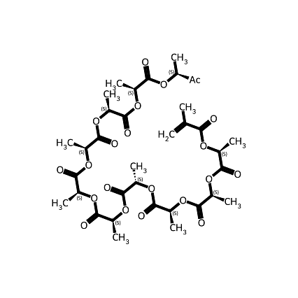 C=C(C)C(=O)O[C@@H](C)C(=O)O[C@@H](C)C(=O)O[C@@H](C)C(=O)O[C@@H](C)C(=O)O[C@@H](C)C(=O)O[C@@H](C)C(=O)O[C@@H](C)C(=O)O[C@@H](C)C(=O)O[C@@H](C)C(=O)O[C@@H](C)C(C)=O